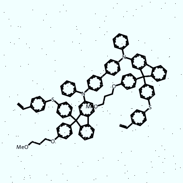 C=Cc1ccc(Sc2ccc(C3(c4ccc(OCCCOC)cc4)c4ccccc4-c4ccc(N(c5ccccc5)c5ccc(-c6ccc(N(c7ccccc7)c7ccc8c(c7)C(c7ccc(OCCCOC)cc7)(c7ccc(Sc9ccc(C=C)cc9)cc7)c7ccccc7-8)cc6)cc5)cc43)cc2)cc1